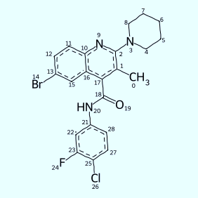 Cc1c(N2CCCCC2)nc2ccc(Br)cc2c1C(=O)Nc1[c]c(F)c(Cl)cc1